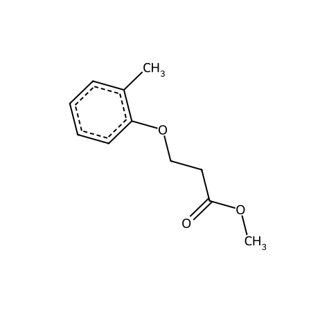 COC(=O)CCOc1ccccc1C